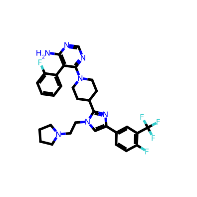 Nc1ncnc(N2CCC(c3nc(-c4ccc(F)c(C(F)(F)F)c4)cn3CCN3CCCC3)CC2)c1-c1ccccc1F